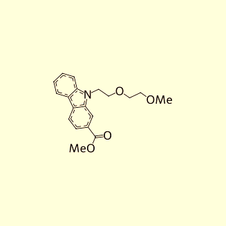 COCCOCCn1c2ccccc2c2ccc(C(=O)OC)cc21